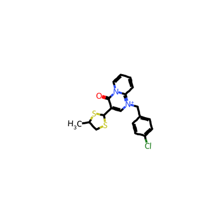 CC1CSC(c2c[n+](Cc3ccc(Cl)cc3)c3ccccn3c2=O)S1